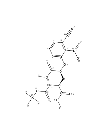 COC(=O)[C@H](C[C@H](Oc1cccc(C#N)c1[N+](=O)[O-])C(=O)OC)NC(=O)OC(C)(C)C